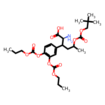 CCCOC(=O)Oc1ccc(C(CC(C)OC(=O)OCC(C)(C)C)[C@H](N)C(=O)O)cc1OC(=O)OCCC